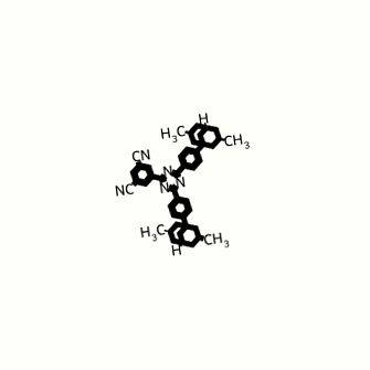 CC1C[C@@H]2C[C@H](C)CC(c3ccc(-c4nc(-c5ccc(C67C[C@H](C)C[C@H](C[C@H](C)C6)C7)cc5)nc(-c5cc(C#N)cc(C#N)c5)n4)cc3)(C1)C2